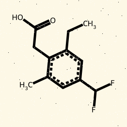 CCc1cc(C(F)F)cc(C)c1CC(=O)O